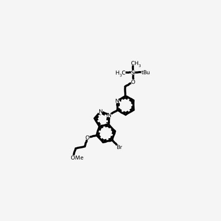 COCCOc1cc(Br)cc2c1cnn2-c1cccc(CO[Si](C)(C)C(C)(C)C)n1